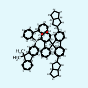 CC1(C)c2ccccc2-c2ccc(N(c3ccccc3-c3ccccc3)c3cccc4c3-c3ccccc3C43c4cc(C5CC6CCCC6C5)ccc4-c4ccc(C5CC6CCCC6C5)cc43)cc21